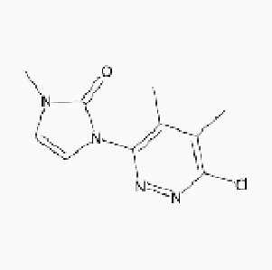 Cc1c(Cl)nnc(-n2ccn(C)c2=O)c1C